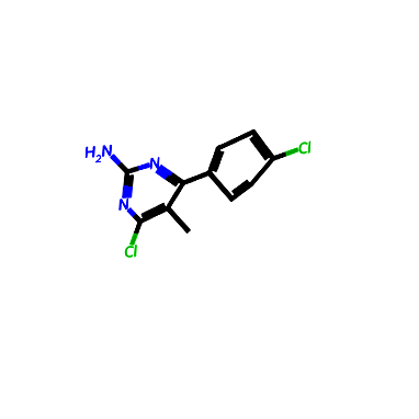 Cc1c(Cl)nc(N)nc1-c1ccc(Cl)cc1